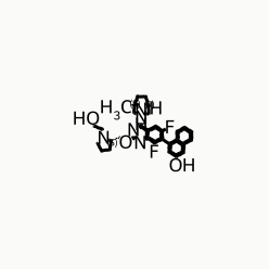 C[C@]12CC[C@H](CN(c3nc(OC[C@@H]4CCCN4CCO)nc4c(F)c(-c5cc(O)cc6ccccc56)c(F)cc34)C1)N2